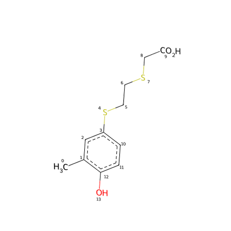 Cc1cc(SCCSCC(=O)O)ccc1O